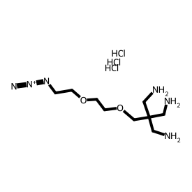 Cl.Cl.Cl.[N-]=[N+]=NCCOCCOCC(CN)(CN)CN